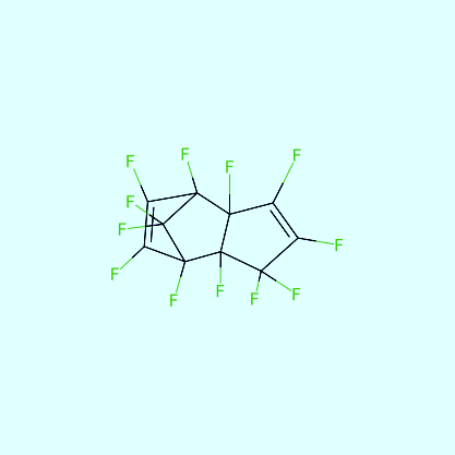 FC1=C(F)C2(F)C3(F)C(F)=C(F)C(F)(C3(F)F)C2(F)C1(F)F